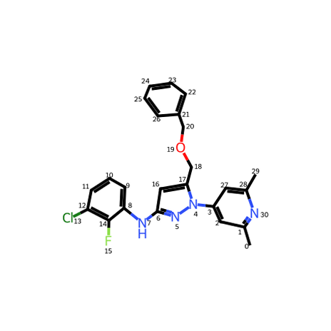 Cc1cc(-n2nc(Nc3cccc(Cl)c3F)cc2COCc2ccccc2)cc(C)n1